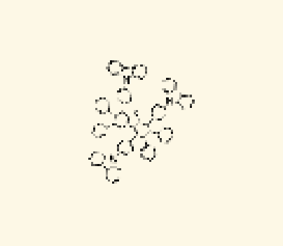 c1ccc(-c2cc3c(sc4c(-c5ccc(-n6c7ccccc7c7ccccc76)cc5)c(-c5ccccc5)c(-c5ccccc5)c(-c5ccc(-n6c7ccccc7c7ccccc76)cc5)c43)c(-c3ccc(-n4c5ccccc5c5ccccc54)cc3)c2-c2ccccc2)cc1